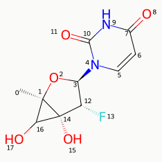 C[C@]12O[C@@H](n3ccc(=O)[nH]c3=O)[C@H](F)[C@@]1(O)C2O